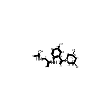 C=C(CNC(C)=O)Nc1ccc(I)cc1C(=C)N1C[C@H](C)C[C@H](C)C1